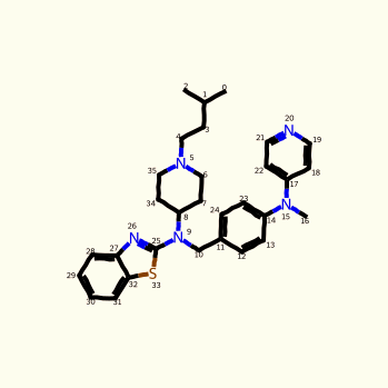 CC(C)CCN1CCC(N(Cc2ccc(N(C)c3ccncc3)cc2)c2nc3ccccc3s2)CC1